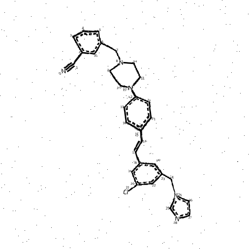 N#Cc1cccc(CN2CCN(c3ccc(C=Cc4cc(Cl)cc(Cn5ccnc5)c4)cc3)CC2)c1